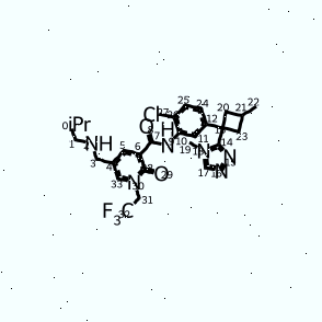 CC(C)CNCc1cc(C(=O)Nc2cc(C3(c4nncn4C)CC(C)C3)ccc2Cl)c(=O)n(CC(F)(F)F)c1